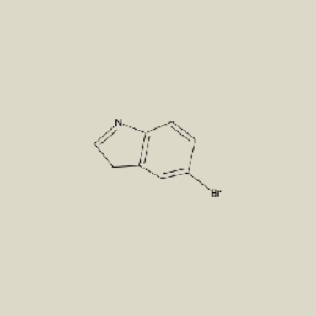 Brc1ccc2c(c1)CC=N2